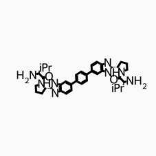 CC(C)[C@H](N)C(=O)N1CCC[C@H]1c1nc2ccc(-c3ccc(-c4ccc5nc([C@@H]6CCCN6C(=O)[C@@H](N)C(C)C)[nH]c5c4)cc3)cc2[nH]1